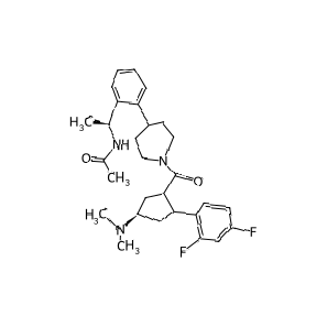 CC(=O)N[C@@H](C)c1ccccc1C1CCN(C(=O)C2C[C@H](N(C)C)CC2c2ccc(F)cc2F)CC1